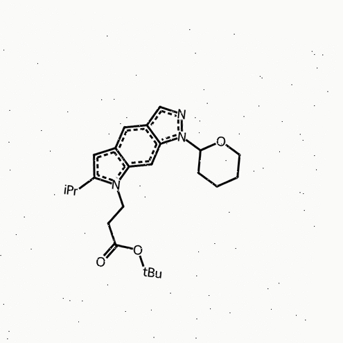 CC(C)c1cc2cc3cnn(C4CCCCO4)c3cc2n1CCC(=O)OC(C)(C)C